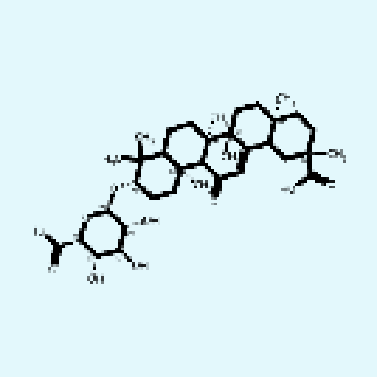 CC1(C)C2CC[C@]3(C)C(C(=O)C=C4C5C[C@@](C)(C(=O)O)CC[C@]5(C)CC[C@]43C)[C@@]2(C)CC[C@@H]1O[C@@H]1O[C@H](C(=O)O)[C@@H](O)[C@H](O)[C@H]1O